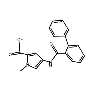 Cn1cc(NC(=O)c2ccccc2-c2ccccc2)cc1C(=O)O